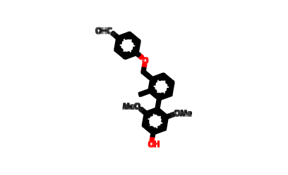 COc1cc(O)cc(OC)c1-c1cccc(COc2ccc(C=O)cc2)c1C